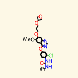 COc1cc2c(Oc3ccc(NC(=O)NC(C)C)c(Cl)c3)ncnc2cc1OCCCOC1COC1